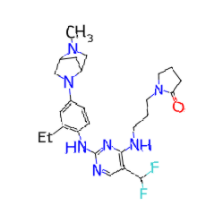 CCc1cc(N2CC3CC2CN3C)ccc1Nc1ncc(C(F)F)c(NCCCN2CCCC2=O)n1